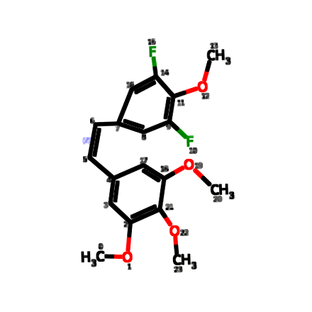 COc1cc(/C=C\c2cc(F)c(OC)c(F)c2)cc(OC)c1OC